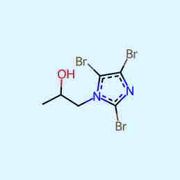 CC(O)Cn1c(Br)nc(Br)c1Br